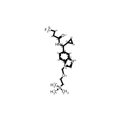 C[Si](C)(C)CCOCn1cnc2cc(C(NC(=O)CCC(F)(F)F)C3CC3)ccc21